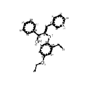 CCOc1ccc(OC(=Cc2cccnc2)C(O)c2ccccc2)c(CC)c1